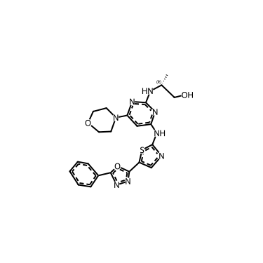 C[C@H](CO)Nc1nc(Nc2ncc(-c3nnc(-c4ccccc4)o3)s2)cc(N2CCOCC2)n1